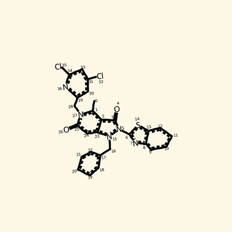 Cc1c2c(=O)n(-c3nc4ccccc4s3)n(Cc3ccccc3)c2cc(=O)n1Cc1cc(Cl)cc(Cl)n1